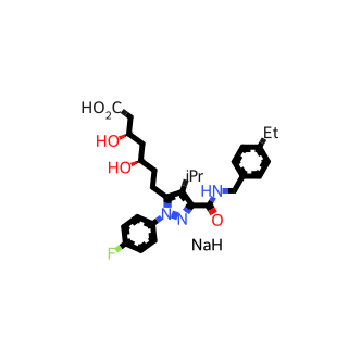 CCc1ccc(CNC(=O)c2nn(-c3ccc(F)cc3)c(CC[C@@H](O)C[C@@H](O)CC(=O)O)c2C(C)C)cc1.[NaH]